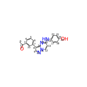 CC(=O)c1cccc(-c2cnn3ccc(Nc4ccc(O)cc4)nc23)c1